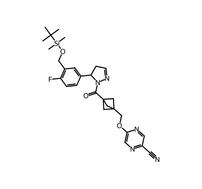 CC(C)(C)[Si](C)(C)OCc1cc(C2CC=NN2C(=O)C23CC(COc4cnc(C#N)cn4)(C2)C3)ccc1F